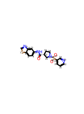 O=C(Nc1ccc2scnc2c1)[C@@H]1CCN(S(=O)(=O)c2cccnc2)C1